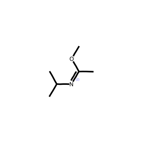 CO/C(C)=N\C(C)C